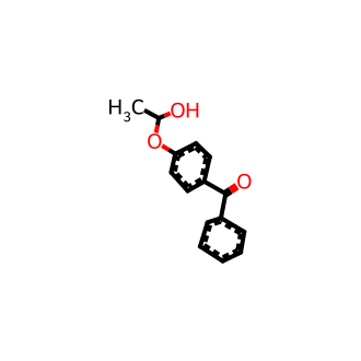 CC(O)Oc1ccc(C(=O)c2ccccc2)cc1